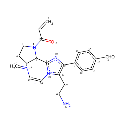 C=CC(=O)N1CCCC1c1nc(-c2ccc(C=O)cc2)c(CCN)n1/C=C\N=C